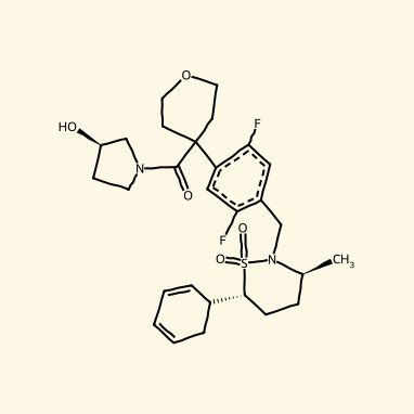 C[C@H]1CC[C@H](C2C=CC=CC2)S(=O)(=O)N1Cc1cc(F)c(C2(C(=O)N3CC[C@@H](O)C3)CCOCC2)cc1F